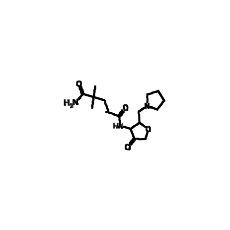 CC(C)(C[CH]C(=O)NC1C(=O)COC1CN1CCCC1)C(N)=O